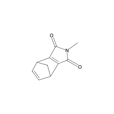 CN1C(=O)C2=C(C1=O)C1C=CC2C1